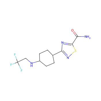 NC(=O)c1nc(C2CCC(NCC(F)(F)F)CC2)ns1